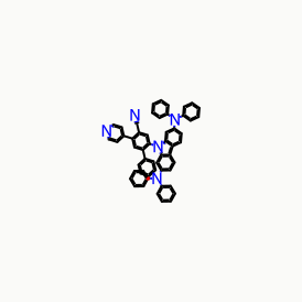 N#Cc1cc(-n2c3cc(N(c4ccccc4)c4ccccc4)ccc3c3ccc(N(c4ccccc4)c4ccccc4)cc32)c(-c2ccccc2)cc1-c1ccncc1